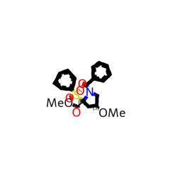 COC(=O)[C@]1(S(=O)(=O)c2ccccc2)C[C@H](OC)CN1C(=O)c1ccccc1